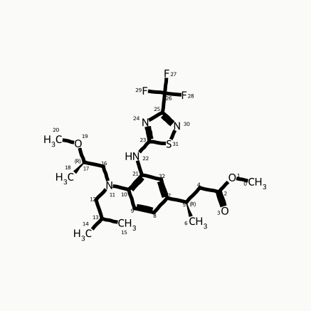 COC(=O)C[C@@H](C)c1ccc(N(CC(C)C)C[C@@H](C)OC)c(Nc2nc(C(F)(F)F)ns2)c1